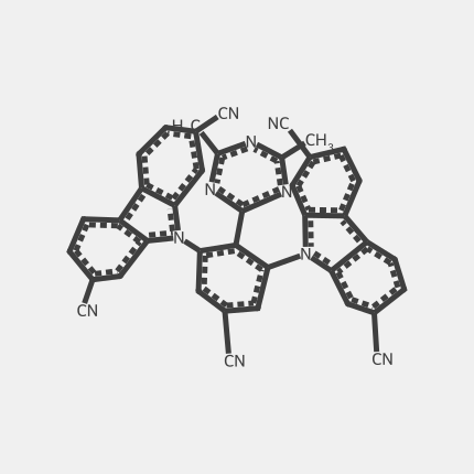 Cc1nc(C)nc(-c2c(-n3c4cc(C#N)ccc4c4ccc(C#N)cc43)cc(C#N)cc2-n2c3cc(C#N)ccc3c3ccc(C#N)cc32)n1